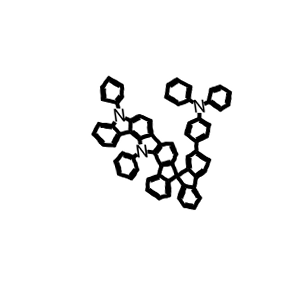 c1ccc(N(c2ccccc2)c2ccc(-c3ccc4c(c3)C3(c5ccccc5-4)c4ccccc4-c4c3ccc3c5ccc6c(c7ccccc7n6-c6ccccc6)c5n(-c5ccccc5)c43)cc2)cc1